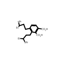 CCCC(CC)CCc1ccc(C(=O)O)c(C(=O)O)c1CCC(CC)CCC